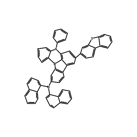 c1ccc(N2c3ccccc3B3c4cc(N(c5cccc6ccccc56)c5cccc6ccccc56)ccc4-c4cc(-c5ccc6c(c5)sc5ccccc56)cc2c43)cc1